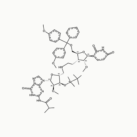 COc1ccc(C(OC[C@H]2O[C@@H](n3ccc(=O)[nH]c3=O)[C@H](OC)[C@@H]2CCNC[C@H]2O[C@@H](n3cnc4c(=O)[nH]c(NC(=O)C(C)C)nc43)[C@H](OC)[C@@H]2O[Si](C)(C)C(C)(C)C)(c2ccccc2)c2ccc(OC)cc2)cc1